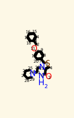 NC(=O)C1=CSC(c2ccc(OCc3ccccc3)cc2)N1CCN1CCCCC1